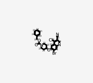 N#Cc1cnc2cc(Br)c(OC3CCN(C(=O)OCc4ccccc4)CC3)cc2c1Cl